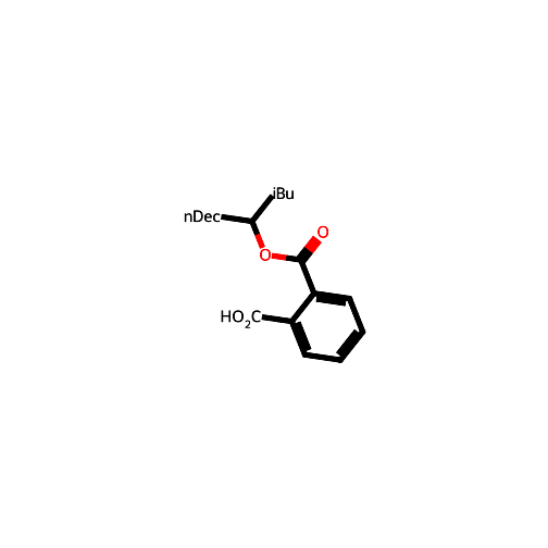 CCCCCCCCCCC(OC(=O)c1ccccc1C(=O)O)C(C)CC